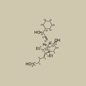 CCC1C(=CCCC(=O)O)[C@]2(CC)CC[C@H](O)[C@@H](C#CC(O)C3CCCCC3)[C@H]12